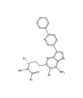 CCCN(C(=O)C(C)=O)[C@H](CC)CCc1nc2c(-c3ccc(-c4ccccc4)nc3)cnn2c(N)c1C(C)=O